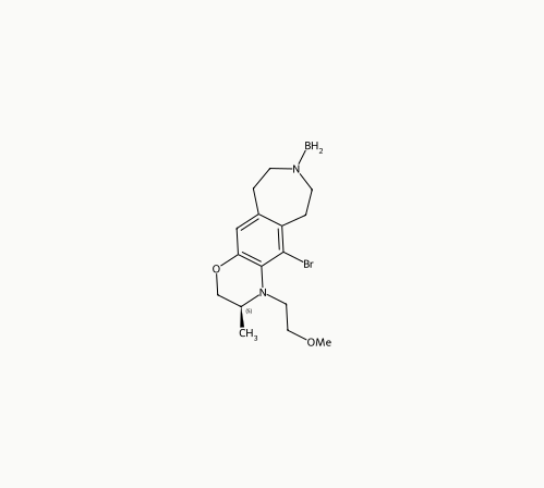 BN1CCc2cc3c(c(Br)c2CC1)N(CCOC)[C@@H](C)CO3